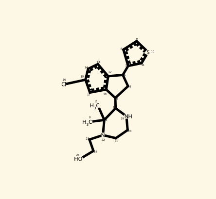 CC1(C)C(C2CC(c3ccsc3)c3ccc(Cl)cc32)NCCN1CCO